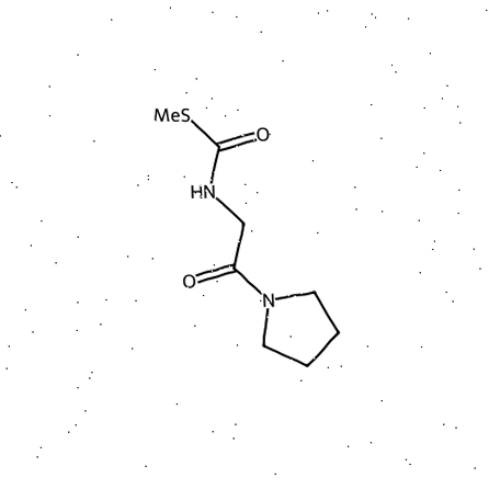 CSC(=O)NCC(=O)N1CCCC1